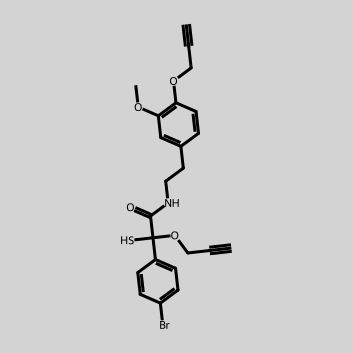 C#CCOc1ccc(CCNC(=O)C(S)(OCC#C)c2ccc(Br)cc2)cc1OC